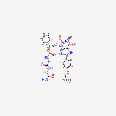 CCCn1c(=O)c2[nH]c(-c3ccc(OCC(=O)O)cc3)nc2n(CCC)c1=O.NC(=O)CNC(=O)CNC(=O)OCc1ccccc1